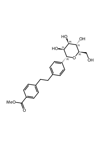 COC(=O)c1ccc(CCc2ccc([C@H]3O[C@H](CO)[C@@H](O)[C@H](O)[C@@H]3O)cc2)cc1